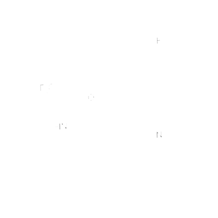 CC1=C(c2cn(C)c3ccc(F)cc23)OC(C(F)(F)F)N1